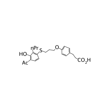 CCCc1c(SCCCOc2ccc(CCC(=O)O)cc2)ccc(C(C)=O)c1O